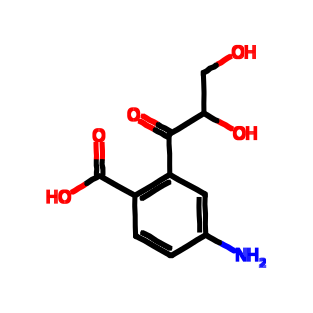 Nc1ccc(C(=O)O)c(C(=O)C(O)CO)c1